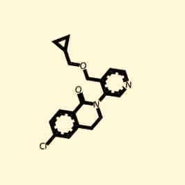 O=C1c2ccc(Cl)cc2CCN1c1cnccc1COCC1CC1